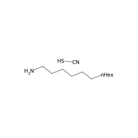 CCCCCCCCCCCCN.N#CS